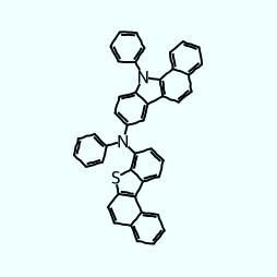 c1ccc(N(c2ccc3c(c2)c2ccc4ccccc4c2n3-c2ccccc2)c2cccc3c2sc2ccc4ccccc4c23)cc1